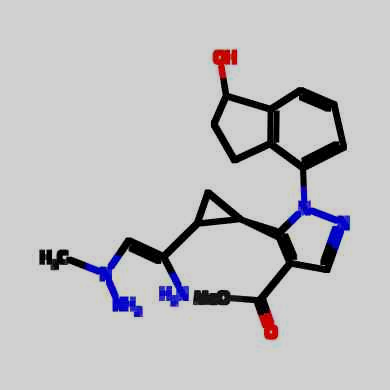 COC(=O)c1cnn(-c2cccc3c2CCC3O)c1[C@@H]1CC1/C(N)=C/N(C)N